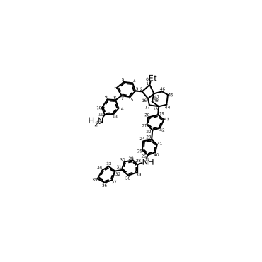 CCC1C(c2cccc(-c3ccc(N)cc3)c2)C2CC3(c4ccc(-c5ccc(Nc6ccc(-c7ccccc7)cc6)cc5)cc4)CCCC12C3